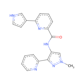 Cn1cc(NC(=O)c2cccc(-c3cc[nH]c3)n2)c(-c2ccccn2)n1